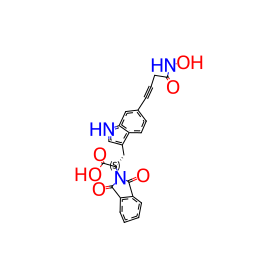 O=C(CC#Cc1ccc2c(C[C@@H](C(=O)O)N3C(=O)c4ccccc4C3=O)c[nH]c2c1)NO